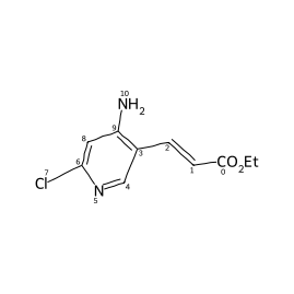 CCOC(=O)C=Cc1cnc(Cl)cc1N